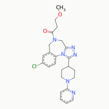 COCCC(=O)N1Cc2cc(Cl)ccc2-n2c(nnc2C2CCN(c3ccccn3)CC2)C1